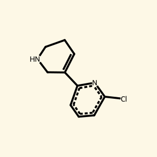 Clc1cccc(C2=CCCNC2)n1